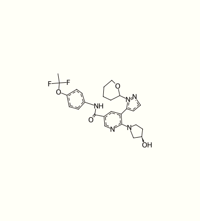 CC(F)(F)Oc1ccc(NC(=O)c2cnc(N3CC[C@@H](O)C3)c(-c3ccnn3C3CCCCO3)c2)cc1